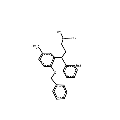 CC(C)N(CCC(c1ccccc1)c1cc(C(=O)O)ccc1OCc1ccccc1)C(C)C.Cl